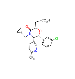 O=C(O)C[C@H]1O[C@H](c2cccc(Cl)c2)[C@@H](c2ccc(C(F)(F)F)nc2)N(CC2CC2)C1=O